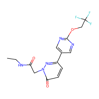 CCNC(=O)Cn1nc(-c2cnc(OCC(F)(F)F)nc2)ccc1=O